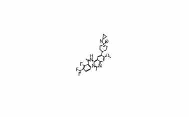 COc1cc2nc(C)nc(N[C@H](C)c3cccc(C(F)F)c3F)c2cc1C1CCS(=O)(=NC2CC2)CC1